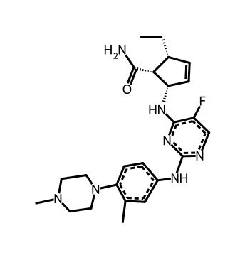 CC[C@@H]1C=C[C@H](Nc2nc(Nc3ccc(N4CCN(C)CC4)c(C)c3)ncc2F)[C@@H]1C(N)=O